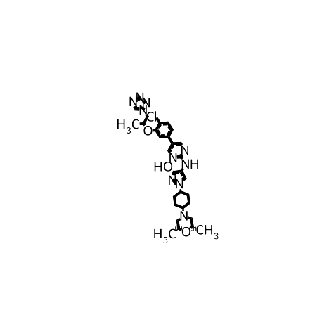 CC(Cn1cnnn1)Oc1cc(-c2cnc(Nc3cn([C@H]4CC[C@H](N5C[C@@H](C)O[C@@H](C)C5)CC4)nc3O)nc2)ccc1Cl